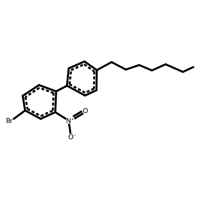 CCCCCCCc1ccc(-c2ccc(Br)cc2[N+](=O)[O-])cc1